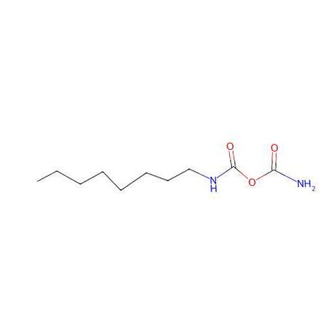 CCCCCCCCNC(=O)OC(N)=O